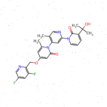 Cc1cnc(-n2cccc(C(C)(C)O)c2=O)cc1-n1c(C)cc(OCc2ncc(F)cc2F)cc1=O